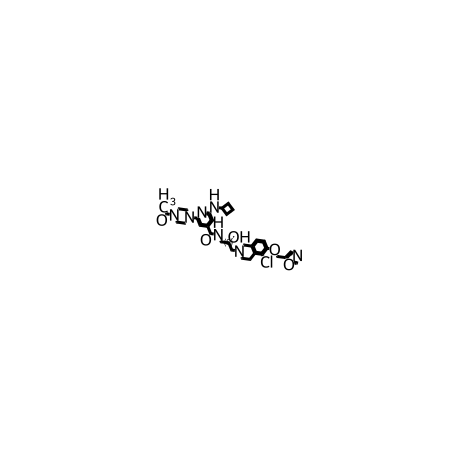 CC(=O)N1CCN(c2cc(C(=O)NC[C@H](O)CN3CCc4c(ccc(OCc5cnco5)c4Cl)C3)cc(NC3CCC3)n2)CC1